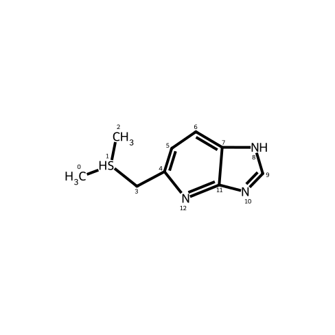 C[SH](C)Cc1ccc2[nH]cnc2n1